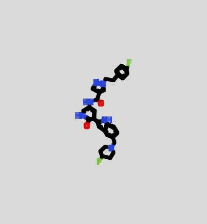 O=C(Nc1c[nH]c(=O)c(-c2cc3cc(CN4CCC(F)CC4)ccc3[nH]2)c1)c1cnn(CCc2ccc(F)cc2)c1